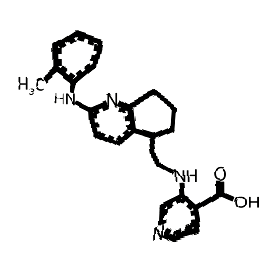 Cc1ccccc1Nc1ccc2c(n1)CCCC2CNc1cnccc1C(=O)O